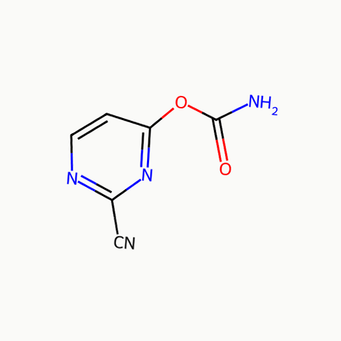 N#Cc1nccc(OC(N)=O)n1